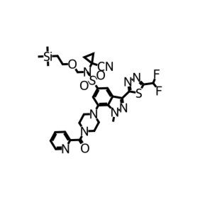 Cn1nc(-c2nnc(C(F)F)s2)c2cc(S(=O)(=O)N(COCC[Si](C)(C)C)C3(C#N)CC3)cc(N3CCN(C(=O)c4ccccn4)CC3)c21